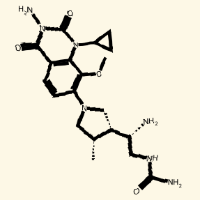 COc1c(N2C[C@H]([C@H](N)CNC(N)=O)[C@H](C)C2)ccc2c(=O)n(N)c(=O)n(C3CC3)c12